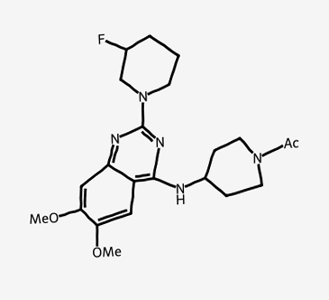 COc1cc2nc(N3CCCC(F)C3)nc(NC3CCN(C(C)=O)CC3)c2cc1OC